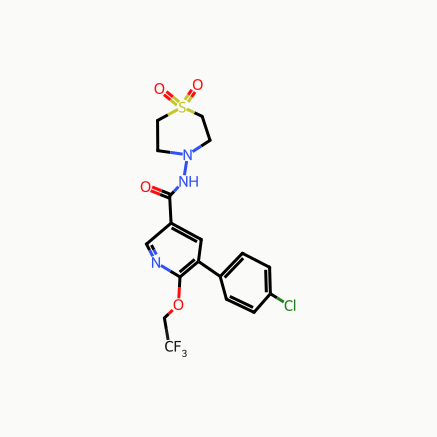 O=C(NN1CCS(=O)(=O)CC1)c1cnc(OCC(F)(F)F)c(-c2ccc(Cl)cc2)c1